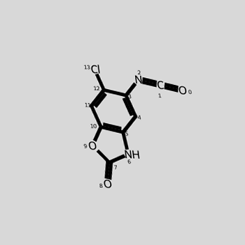 O=C=Nc1cc2[nH]c(=O)oc2cc1Cl